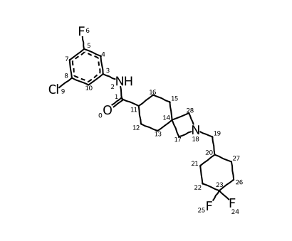 O=C(Nc1cc(F)cc(Cl)c1)C1CCC2(CC1)CN(CC1CCC(F)(F)CC1)C2